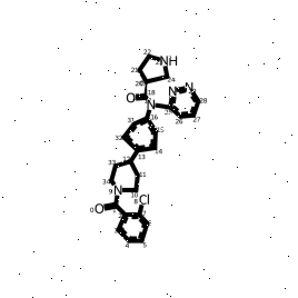 O=C(c1ccccc1Cl)N1CCC(c2ccc(N(C(=O)[C@H]3CCNC3)c3cccnn3)cc2)CC1